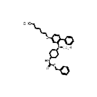 O=CCCCCCOc1ccc(-c2ccccc2)c(N(C(=O)O)C2CCC(NC(=O)OCc3ccccc3)CC2)c1